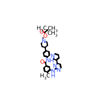 Cc1ccc(C(=O)Nc2ccc(C3CCN(COC(=O)C(C)(C)C)CC3)cc2)cc1Nc1nccc(-c2cccnc2)n1